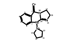 O=C1c2ccccc2N(N2CCCC2)C2=NCCN12